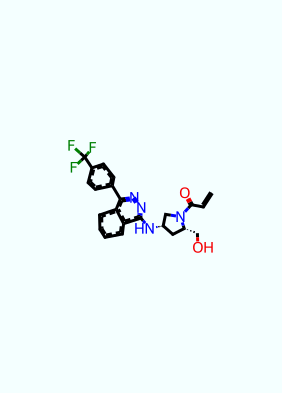 C=CC(=O)N1C[C@@H](Nc2nnc(-c3ccc(C(F)(F)F)cc3)c3ccccc23)C[C@H]1CO